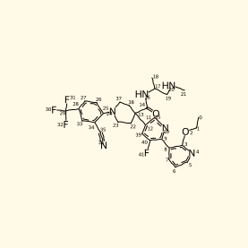 CCOc1ncccc1-c1ncc(C2(C(=O)NC(C)CNC)CCN(c3ccc(C(F)(F)F)cc3C#N)CC2)cc1F